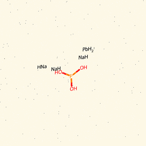 OP(O)O.[NaH].[NaH].[NaH].[PbH2]